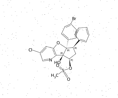 CS(=O)(=O)O[C@@H]1C[C@H](c2ccccc2)[C@]2(c3ccc(Br)cc3)Oc3cc(Cl)cnc3[C@@]12O